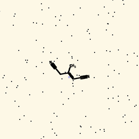 C/C(=C\C#N)CC#N